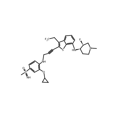 CN1CC[C@@H](Nc2cccc3c(CC(F)(F)F)c(C#CCNc4ccc(S(C)(=N)=O)cc4OC4CC4)sc23)[C@@H](F)C1